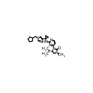 CC(C)[C@H]1CN(C)C(=O)N1c1ccnc(NC2(c3cn(CC4CCCC4)cn3)CC2)n1